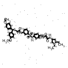 CCN1CC(NC(=O)C(=O)NNc2ccc(NS(=O)(=O)c3cccc(NC(=O)CSC(c4ccc(OC)cc4)c4ccc(OC)cc4)c3)cc2)CN1CC